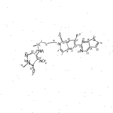 C[C@@H](CCCn1ccc2cc(-c3ncc4ccsc4n3)c(F)cc2c1=O)Nc1cnn(C)c(=O)c1C(F)(F)F